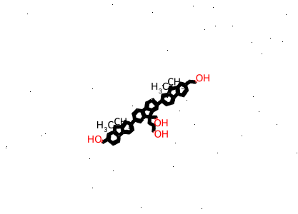 CC1(C)c2cc(CO)ccc2-c2ccc(-c3ccc4c(c3)C(CO)(CCCO)c3cc(-c5ccc6c(c5)C(C)(C)c5cc(CCO)ccc5-6)ccc3-4)cc21